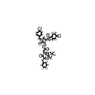 CC(C)(C)OC(=O)N[C@@H](Cc1ccccc1)C(=O)NCC(=O)OCN1C(=O)N(Cc2ccc(Cl)cc2)SC1NC(=O)c1ccc(Cl)cc1